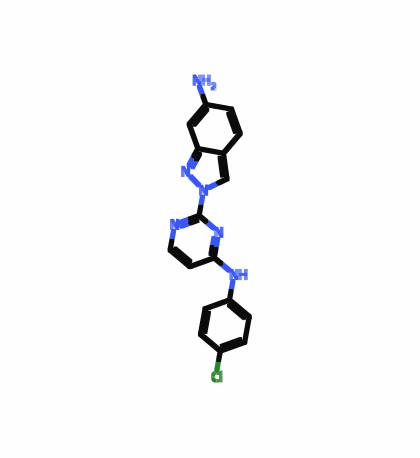 Nc1ccc2cn(-c3nccc(Nc4ccc(Cl)cc4)n3)nc2c1